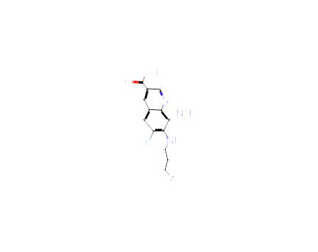 N.O=C(O)c1cnc2cc(NCCCCl)c(F)cc2c1